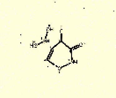 O=C1NOC=CC1Cl.OBO